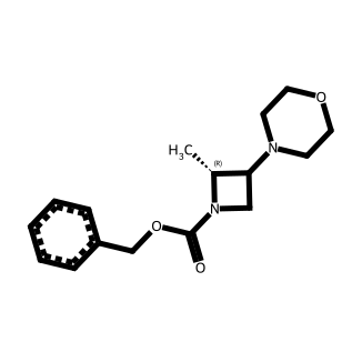 C[C@@H]1C(N2CCOCC2)CN1C(=O)OCc1ccccc1